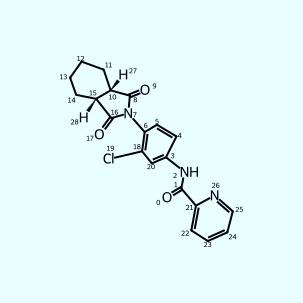 O=C(Nc1ccc(N2C(=O)[C@H]3CCCC[C@H]3C2=O)c(Cl)c1)c1ccccn1